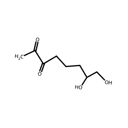 CC(=O)C(=O)CCCC(O)CO